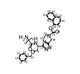 CC(C)(N)C(=O)N[C@H](COCc1ccccc1)c1nnc2n1CCN(C(=O)Oc1cccc3ccccc13)C2